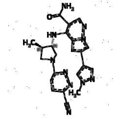 C[C@@H]1CN(c2ccc(C#N)nn2)C[C@H]1Nc1c(C(N)=O)cnn2cc(-c3cnn(C)c3)cc12